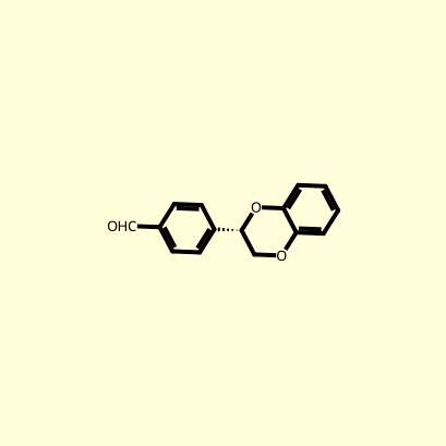 O=Cc1ccc([C@H]2COc3ccccc3O2)cc1